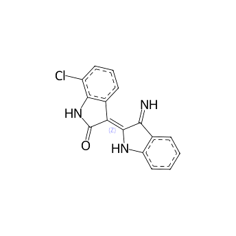 N=C1/C(=C2/C(=O)Nc3c(Cl)cccc32)Nc2ccccc21